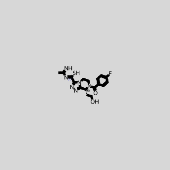 CC(=N)/N=C(\S)c1nnc2n1CCN(C(=O)c1ccc(F)cc1)[C@@H]2CCO